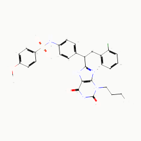 CCCCn1c(=O)[nH]c(=O)c2[nH]c(C(Cc3ccccc3F)c3ccc(NS(=O)(=O)c4ccc(OC)cc4)cc3)nc21